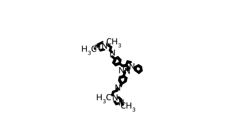 CC(CCN=Cc1ccc(-c2nc(-c3ccc(C=NCCC(C)N4CCN(C)CC4)cc3)c3ccn(-c4ccccc4)c3n2)cc1)N1CCN(C)CC1